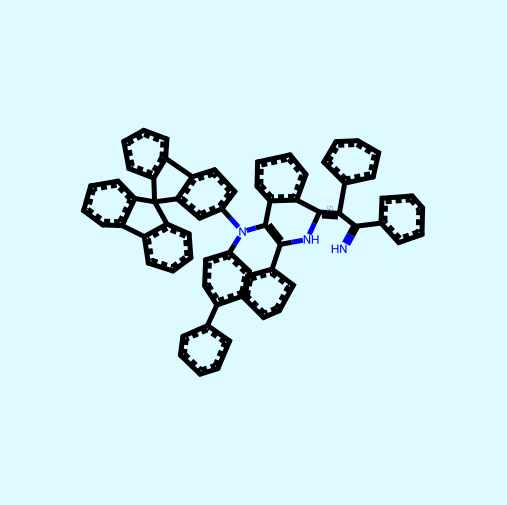 N=C(/C(=C1\NC(c2ccccc2)=C(N(c2ccc(-c3ccccc3)cc2)c2ccc3c(c2)C2(c4ccccc4-c4ccccc42)c2ccccc2-3)c2ccccc21)c1ccccc1)c1ccccc1